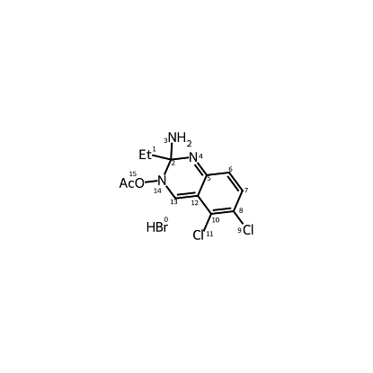 Br.CCC1(N)N=c2ccc(Cl)c(Cl)c2=CN1OC(C)=O